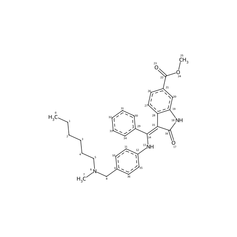 CCCCCCN(C)Cc1ccc(N/C(=C2\C(=O)Nc3cc(C(=O)OC)ccc32)c2ccccc2)cc1